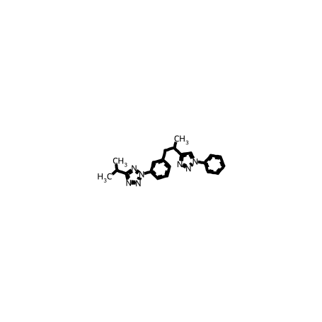 CC(C)c1nnn(-c2cccc(CC(C)c3cn(-c4ccccc4)nn3)c2)n1